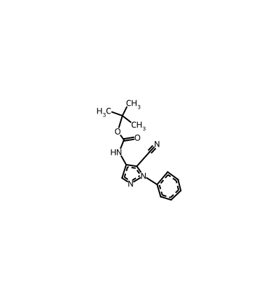 CC(C)(C)OC(=O)Nc1cnn(-c2ccccc2)c1C#N